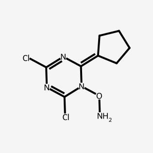 NON1C(Cl)=NC(Cl)=NC1=C1CCCC1